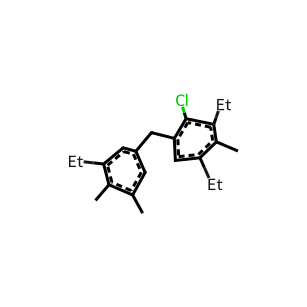 CCc1cc(Cc2cc(CC)c(C)c(CC)c2Cl)cc(C)c1C